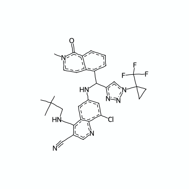 Cn1ccc2c(C(Nc3cc(Cl)c4ncc(C#N)c(NCC(C)(C)C)c4c3)c3cn(C4(C(F)(F)F)CC4)nn3)cccc2c1=O